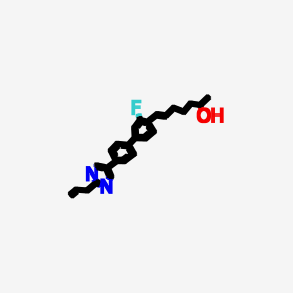 C=CCc1ncc(-c2ccc(-c3ccc(C=CCCCC(C)O)c(F)c3)cc2)cn1